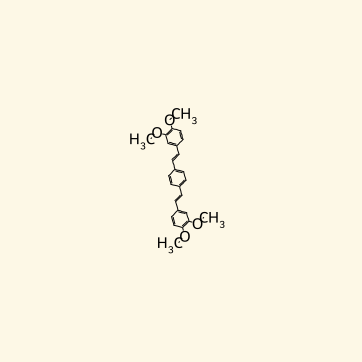 COc1ccc(C=Cc2ccc(C=Cc3ccc(OC)c(OC)c3)cc2)cc1OC